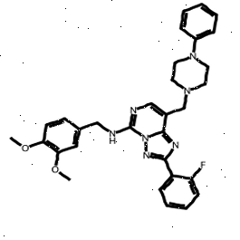 COc1ccc(CNc2ncc(CN3CCN(c4ccccc4)CC3)c3nc(-c4ccccc4F)nn23)cc1OC